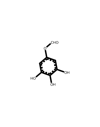 O=[C]Oc1cc(O)c(O)c(O)c1